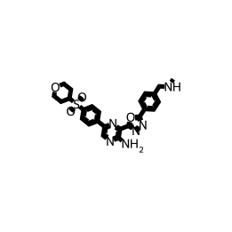 CNCc1ccc(-c2nnc(-c3nc(-c4ccc(S(=O)(=O)C5CCOCC5)cc4)cnc3N)o2)cc1